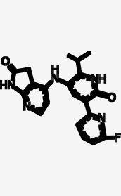 CC(C)c1[nH]c(=O)c(-c2cccc(F)n2)cc1Nc1ccnc2c1CC(=O)N2